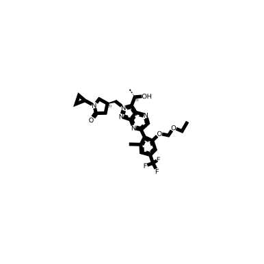 CCOCOc1cc(C(F)(F)F)cc(C)c1-c1cnc2c([C@H](C)O)n(C[C@H]3CC(=O)N(C4CC4)C3)nc2n1